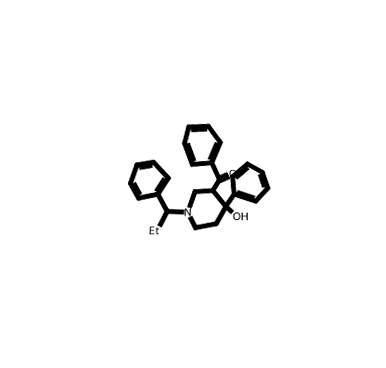 CCC(c1ccccc1)N1CCC(O)(c2ccccc2)C(C(=O)c2ccccc2)C1